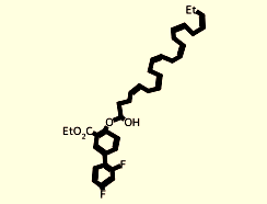 CC/C=C\C/C=C\C/C=C\C/C=C\C/C=C\C/C=C\CCC(O)Oc1ccc(-c2ccc(F)cc2F)cc1C(=O)OCC